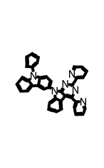 c1ccc(-n2c3ccccc3c3cc(-n4c5ccccc5c5c(-c6ccccn6)nc(-c6ccccn6)nc54)ccc32)cc1